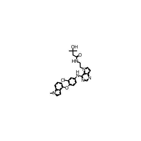 Cn1ccc2c(Oc3ccc(Nc4ncnc5ccn(CCNC(=O)CC(C)(C)O)c45)cc3Cl)cccc21